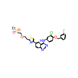 CCS(=O)(=O)CCOCCc1nc(-c2ccc3ncnc(Nc4ccc(OCc5cccc(F)c5)c(Cl)c4)c3c2)cs1